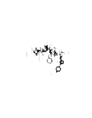 CCC(N)C(=O)C(=O)NC(=O)CN(C(=O)[C@H](CC1CCCCC1)NC(=O)[C@@H](NC(=O)c1ccc(-c2ccc(Cl)cc2)o1)[C@@H](C)CC)S(=O)(=O)C(F)(F)F